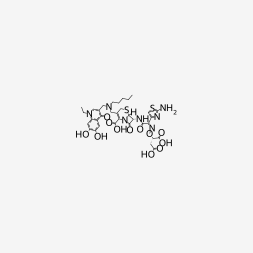 CCCCCN(CC1=C(C(=O)O)N2C(=O)[C@@H](NC(=O)/C(=N\O[C@@H](CC(=O)O)C(=O)O)c3csc(N)n3)[C@H]2SC1)Cc1cn(CC)c2cc(O)c(O)cc2c1=O